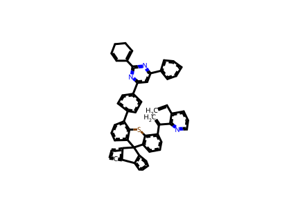 C=Cc1cccnc1C(=C)c1cccc2c1Sc1c(-c3ccc(-c4cc(-c5ccccc5)nc(C5=CCCC=C5)n4)cc3)cccc1C21c2ccccc2-c2ccccc21